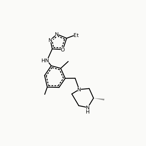 CCc1nnc(Nc2cc(C)cc(CN3CCN[C@@H](C)C3)c2C)o1